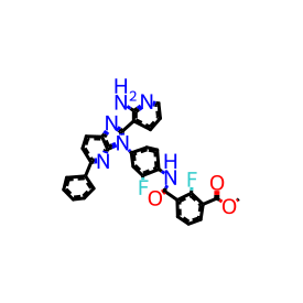 COC(=O)c1cccc(C(=O)Nc2ccc(-n3c(-c4cccnc4N)nc4ccc(-c5ccccc5)nc43)cc2F)c1F